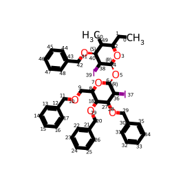 CCC1O[C@H](O[C@H]2OC(COCc3ccccc3)C(OCc3ccccc3)C(OCc3ccccc3)C2I)C(I)[C@@H](OCc2ccccc2)C1C